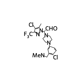 CNCc1cc(N2CCN(C(C=O)n3nc(C(F)(F)F)c(Cl)c3C)CC2)ccc1Cl